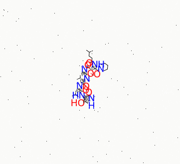 CNC(=O)[C@@H](NC(=O)[C@H](CC(C)C)N(C)C(=O)[C@H](C(C)C)N(C)C(OC)[C@@H](C)N(C)C(=O)C[C@H](NC(=O)CCC(C)C)C(=O)N1CCCCC1)[C@@H](C)O